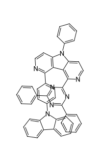 c1ccc(-c2nc(-c3ccccc3)nc(-c3nccc4c3c3c(-c5ccc(-n6c7ccccc7c7ccccc76)cc5)nccc3n4-c3ccccc3)n2)cc1